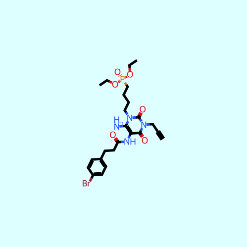 C#CCn1c(=O)c(NC(=O)CCc2ccc(Br)cc2)c(N)n(CCCCP(=O)(OCC)OCC)c1=O